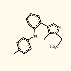 CCOC(=O)Cn1ncc(-c2ccccc2Nc2ccc(C(F)(F)F)cc2)c1C